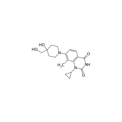 Cc1c(N2CCC(O)(CO)CC2)ccc2c(=O)[nH]c(=O)n(C3CC3)c12